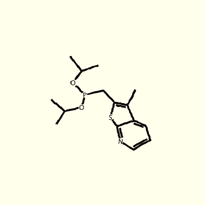 Cc1c(CP(OC(C)C)OC(C)C)sc2ncccc12